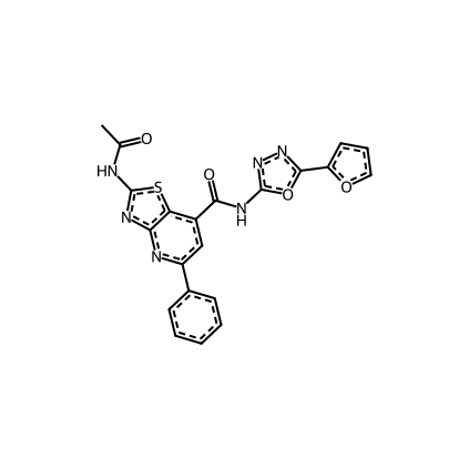 CC(=O)Nc1nc2nc(-c3ccccc3)cc(C(=O)Nc3nnc(-c4ccco4)o3)c2s1